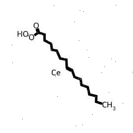 CCCCCCCCC=CCCCCCCCC(=O)OO.[Ce]